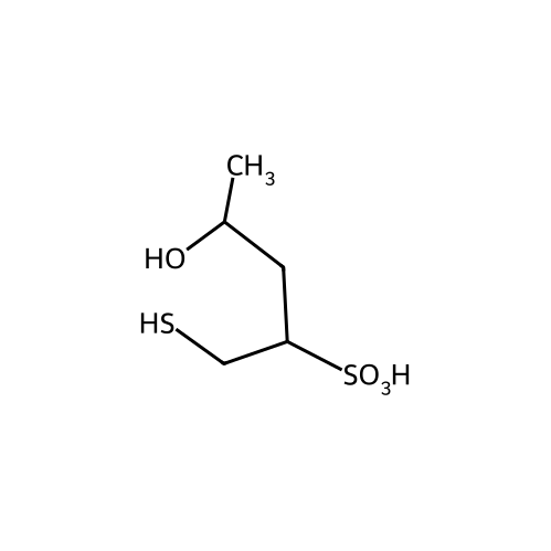 CC(O)CC(CS)S(=O)(=O)O